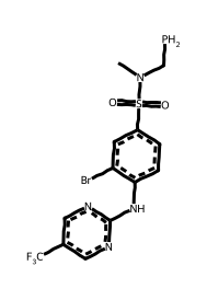 CN(CP)S(=O)(=O)c1ccc(Nc2ncc(C(F)(F)F)cn2)c(Br)c1